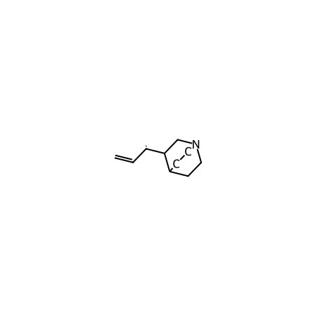 C=C[CH]C1CN2CCC1CC2